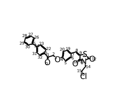 O=C(COc1ccc(C=C2SC(=O)N(CCCl)C2=O)cc1)c1ccc(-c2ccccc2)cc1